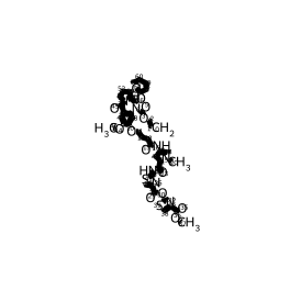 C=CCOC(=O)N1c2cc(OCCCC(=O)NC3=CN(C)C(C(=O)Nc4nc(C(=O)Oc5nc(C(=O)OC)cs5)cs4)C3)c(OC)cc2C(=O)N2CCC[C@H]2C1OC1CCCCO1